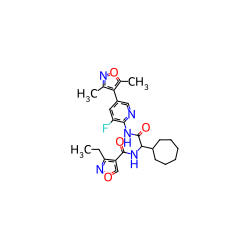 CCc1nocc1C(=O)NC(C(=O)Nc1ncc(-c2c(C)noc2C)cc1F)C1CCCCCC1